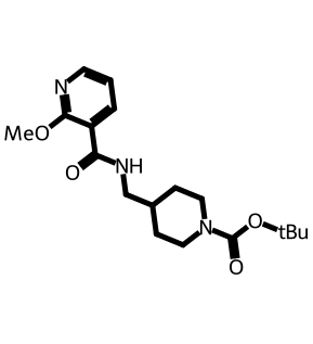 COc1ncccc1C(=O)NCC1CCN(C(=O)OC(C)(C)C)CC1